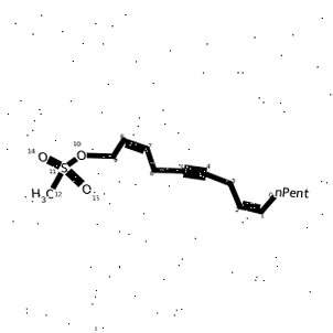 CCCCC/C=C\CC#CC/C=C\COS(C)(=O)=O